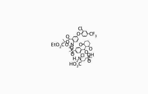 CCOC(=O)C(C)OC(=O)c1cc(Oc2ccc(C(F)(F)F)cc2Cl)ccc1[N+](=O)[O-].CP(=O)(O)CCC(N)C(=O)O.CS(=O)(=O)c1ccc(C(=O)C2C(=O)CCCC2=O)c(Cl)c1